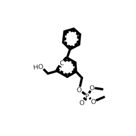 COP(=O)(OC)OCc1cc(CO)cc(-c2ccccc2)c1